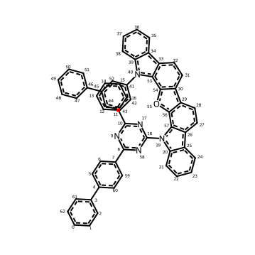 c1ccc(-c2ccc(-c3nc(-c4ccccc4)nc(-n4c5ccccc5c5ccc6c7ccc8c9ccccc9n(-c9cccc(-c%10ccccc%10)c9)c8c7oc6c54)n3)cc2)cc1